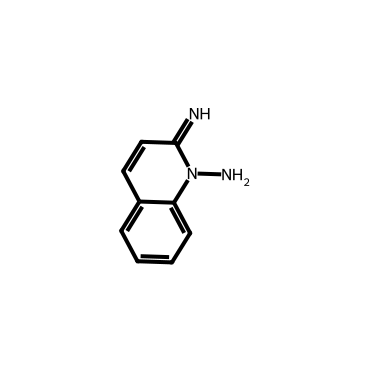 N=c1ccc2ccccc2n1N